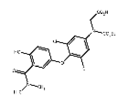 CCOC(=O)N(CC(=O)O)c1cc(Cl)c(Oc2ccc(O)c(C(=O)N(C)C)c2)c(Cl)c1